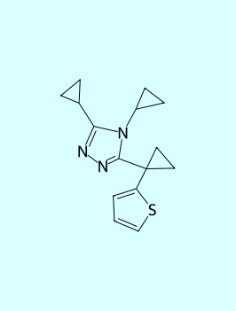 c1csc(C2(c3nnc(C4CC4)n3C3CC3)CC2)c1